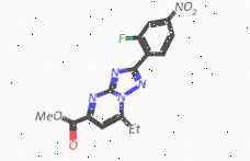 CCc1cc(C(=O)OC)nc2nc(-c3ccc([N+](=O)[O-])cc3F)nn12